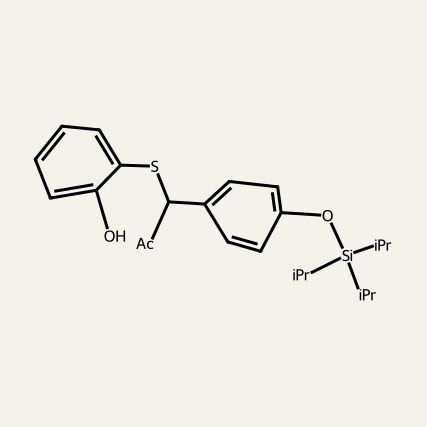 CC(=O)C(Sc1ccccc1O)c1ccc(O[Si](C(C)C)(C(C)C)C(C)C)cc1